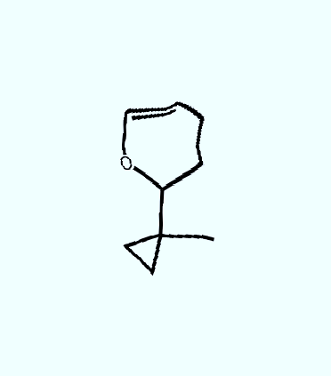 CC1(C2CCC=CO2)CC1